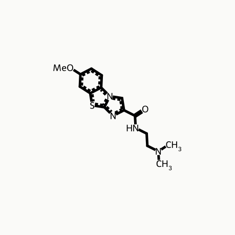 COc1ccc2c(c1)sc1nc(C(=O)NCCN(C)C)cn12